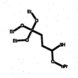 CCCOC(S)CC[Si](OCC)(OCC)OCC